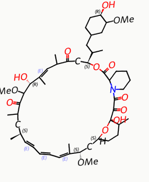 COC1CC(CC(C)[C@@H]2CC(=O)C(C)/C=C(\C)[C@@H](O)C(OC)C(=O)C(C)C[C@H](C)/C=C/C=C/C=C(\C)[C@@H](OC)C[C@@H]3CCC(C)C(O)(O3)C(=O)C(=O)N3CCCCC3C(=O)O2)CC[C@H]1O